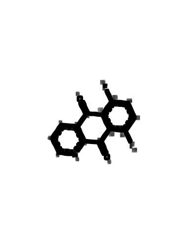 O=C1c2cccnc2C(=O)c2c(F)ccc(F)c21